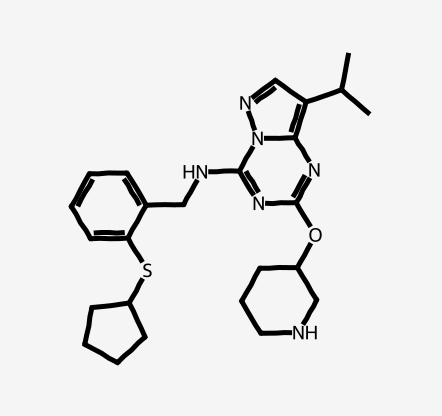 CC(C)c1cnn2c(NCc3ccccc3SC3CCCC3)nc(OC3CCCNC3)nc12